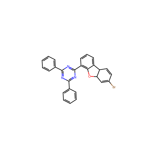 BrC1=CC2Oc3c(-c4nc(-c5ccccc5)nc(-c5ccccc5)n4)cccc3C2C=C1